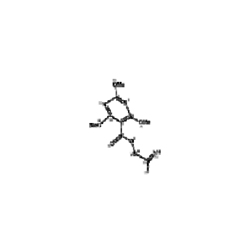 COc1nc(OC)c(C(=O)ONC(C)=N)c(OC)n1